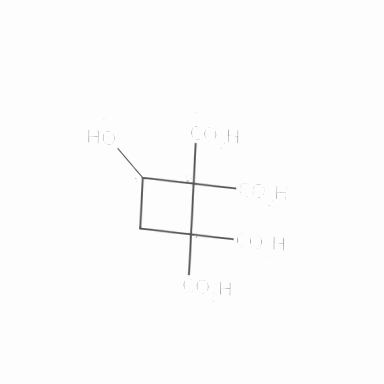 O=C(O)C1(C(=O)O)CC(O)C1(C(=O)O)C(=O)O